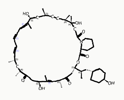 C/C1=C\[C@@H](C)C(=O)C[C@@H]([C@H](C)C[C@H]2CC[C@H](O)CC2)OC(=O)C2CCCCN2C(=O)C[C@@](C)(O)[C@H](C)CC[C@H](C)C[C@H](O)/C(C)=C/C=C/C=C/[C@@H](C)C[C@@H](C)C(=O)C[C@@H]1O